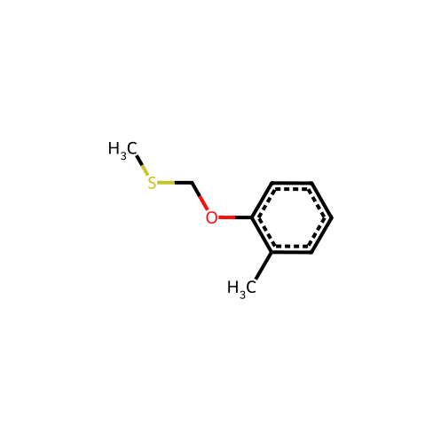 CSCOc1ccccc1C